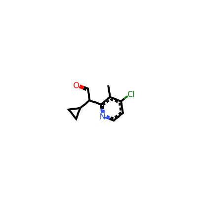 Cc1c(Cl)ccnc1C(C=O)C1CC1